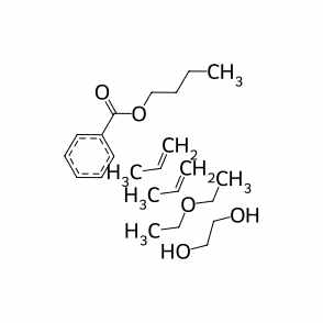 C=CC.C=CC.CCCCOC(=O)c1ccccc1.CCOCC.OCCO